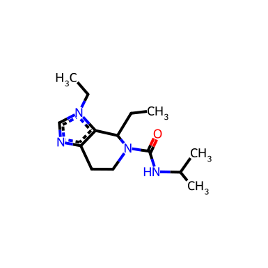 CCC1c2c(ncn2CC)CCN1C(=O)NC(C)C